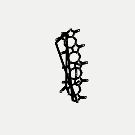 O=C1N2CN3C(=O)N4CN5C(=O)N6CN7C(=O)N8CN9C(=O)N%10CN1C1C2N2CN%11C(=O)N(CN%12C(=O)N(CN%13C(=O)N(CN%14C(=O)N(CN1C2=O)C%10C%149)[C@H]8[C@H]7%13)[C@H]6[C@H]5%12)C4C3%11